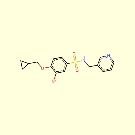 O=S(=O)(NCc1cccnc1)c1ccc(OCC2CC2)c(Br)c1